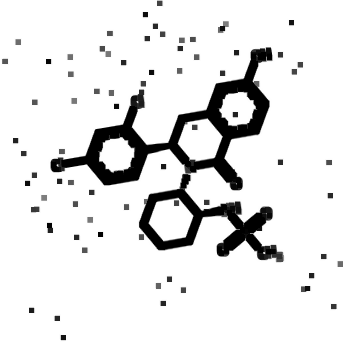 CS(=O)(=O)N[C@H]1CCCC[C@@H]1N1C(=O)c2ccc(O)cc2C[C@@H]1c1ccc(Cl)cc1Cl